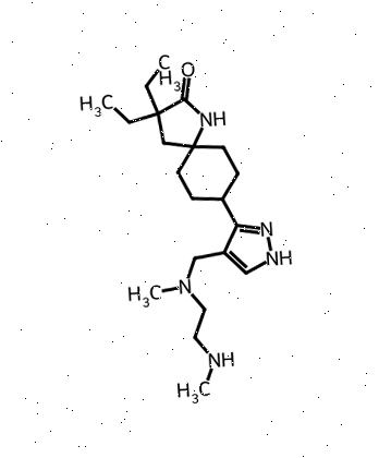 CCC1(CC)CC2(CCC(c3n[nH]cc3CN(C)CCNC)CC2)NC1=O